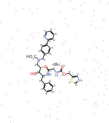 CC(C)(C)[C@H](NC(=O)OCc1cncs1)C(=O)NC(Cc1ccccc1)C(O)CCN(Cc1ccc(-c2ccccn2)cc1)C(=O)O